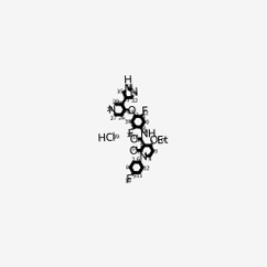 CCOc1ccn(-c2ccc(F)cc2)c(=O)c1C(=O)Nc1cc(F)c(Oc2ccncc2-c2cn[nH]c2)cc1F.Cl